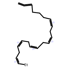 C=C=CCCC/C=C\C/C=C\C/C=C\C/C=C\C/C=C\CC